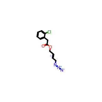 [N-]=[N+]=NC/C=C/COC(=O)Cc1ccccc1Cl